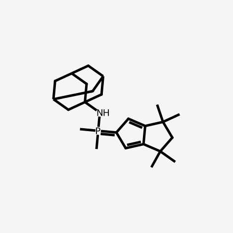 CC1(C)CC(C)(C)C2=CC(=P(C)(C)NC34CC5CC(CC(C5)C3)C4)C=C21